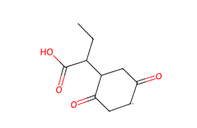 CCC(C(=O)O)C1CC(=O)[CH]CC1=O